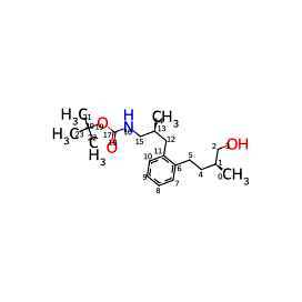 C[C@H](CO)CCc1ccccc1C[C@H](C)CNC(=O)OC(C)(C)C